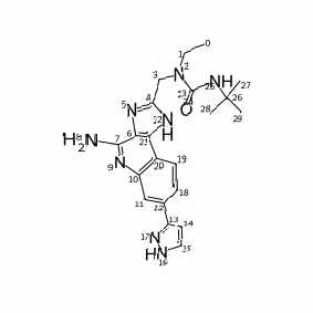 CCN(Cc1nc2c(N)nc3cc(-c4cc[nH]n4)ccc3c2[nH]1)C(=O)NC(C)(C)C